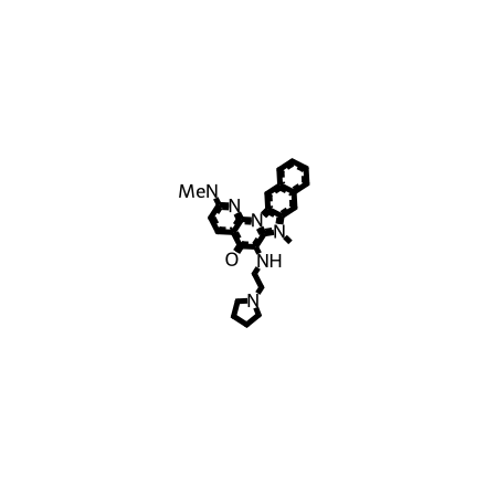 CNc1ccc2c(=O)c(NCCN3CCCC3)c3n(C)c4cc5ccccc5cc4n3c2n1